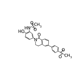 CS(=O)(=O)Nc1cc(N2CCc3cc(-c4ccc(S(C)(=O)=O)cc4)ccc3C2=O)ccc1O